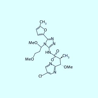 COCCC(OC)n1c(NS(=O)(=O)[C@@H](C)[C@H](OC)c2ncc(Cl)cn2)nnc1-c1ccc(C)o1